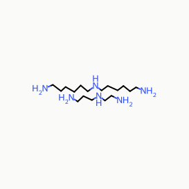 NCCCCCCNCCCCCCN.NCCCNCCN